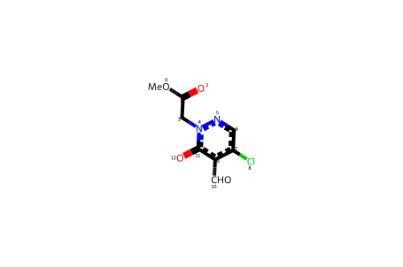 COC(=O)Cn1ncc(Cl)c(C=O)c1=O